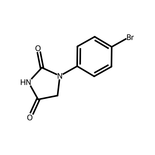 O=C1CN(c2ccc(Br)cc2)C(=O)N1